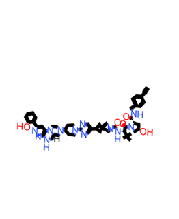 C#Cc1ccc(CNC(=O)[C@@H]2C[C@@H](O)CN2C(=O)[C@@H](NC(=O)N2CC3(CC(c4cnc(N5CCC(N6CCN7c8cc(-c9ccccc9O)nnc8NC[C@H]7C6)CC5)nc4)C3)C2)C(C)(C)C)cc1